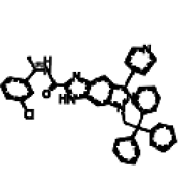 C[C@@H](NC(=O)c1nc2cc3c(-c4ccncc4)nn(CC(c4ccccc4)(c4ccccc4)c4ccccc4)c3cc2[nH]1)c1cccc(Cl)c1